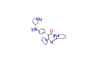 O=c1c(-c2ccc(N[C@@H]3CCNC3)cc2)c(N2CCCC2)nc2ccccn12